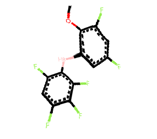 COc1c(F)cc(F)cc1Bc1c(F)cc(F)c(F)c1F